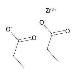 CCC(=O)[O-].CCC(=O)[O-].[Zr+2]